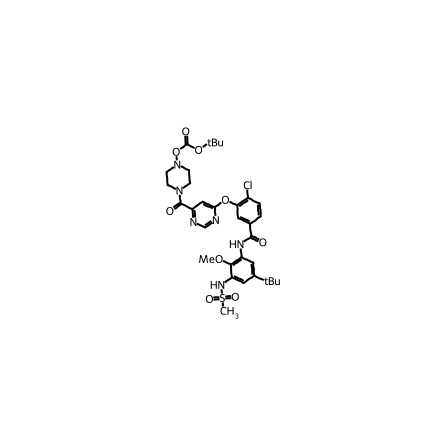 COc1c(NC(=O)c2ccc(Cl)c(Oc3cc(C(=O)N4CCN(OC(=O)OC(C)(C)C)CC4)ncn3)c2)cc(C(C)(C)C)cc1NS(C)(=O)=O